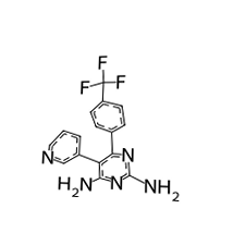 Nc1nc(N)c(-c2cccnc2)c(-c2ccc(C(F)(F)F)cc2)n1